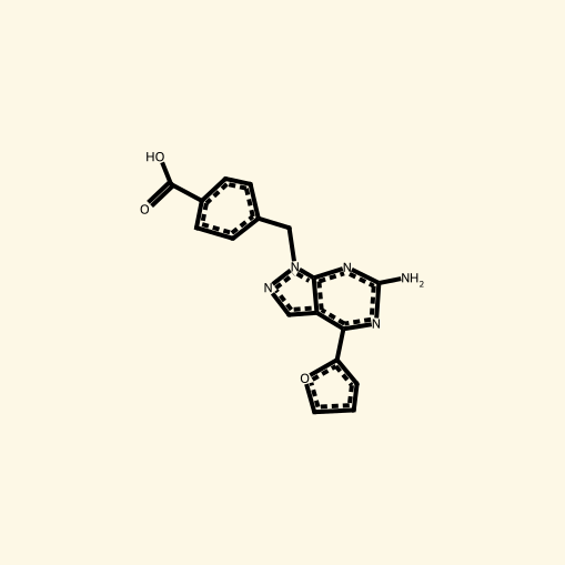 Nc1nc(-c2ccco2)c2cnn(Cc3ccc(C(=O)O)cc3)c2n1